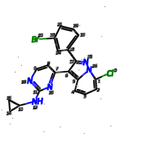 Clc1cccc2c(-c3ccnc(NC4CC4)n3)c(-c3cccc(Br)c3)nn12